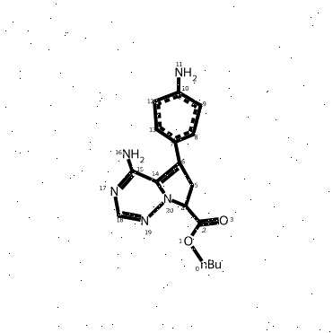 CCCCOC(=O)C1CC(c2ccc(N)cc2)=C2C(N)=NC=NN21